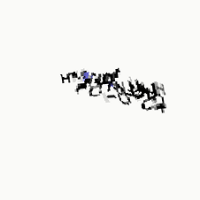 C=CN(C)/C(=N\NC(O)c1cc(NC(=O)OC(C)(C)C)cn1C)C(=O)N/C(C=CC)=C/NC